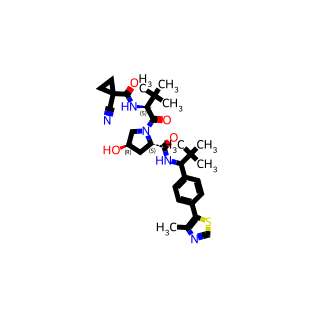 Cc1ncsc1-c1ccc(C(NC(=O)[C@@H]2C[C@@H](O)CN2C(=O)[C@@H](NC(=O)C2(C#N)CC2)C(C)(C)C)C(C)(C)C)cc1